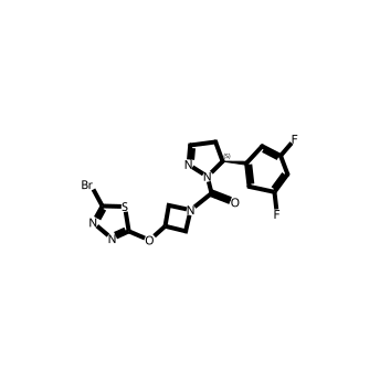 O=C(N1CC(Oc2nnc(Br)s2)C1)N1N=CC[C@H]1c1cc(F)cc(F)c1